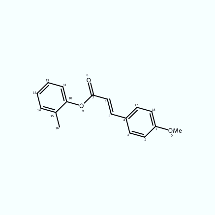 COc1ccc(C=CC(=O)Oc2ccccc2C)cc1